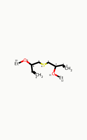 C=CC(CSCC(C=C)OCC)OCC